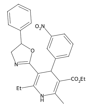 CCOC(=O)C1=C(C)NC(CC)=C(C2=NCC(c3ccccc3)O2)C1c1cccc([N+](=O)[O-])c1